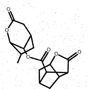 CC1CC2CC(=O)OC1C2OC(=O)C1C2CC3OC(=O)C1C3C2